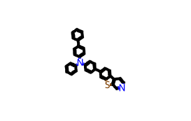 c1ccc(-c2ccc(N(c3ccccc3)c3ccc(-c4ccc5c(c4)sc4cnccc45)cc3)cc2)cc1